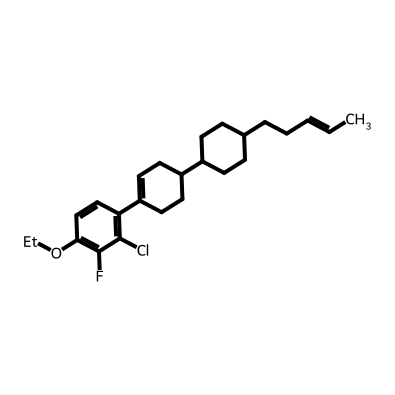 C/C=C/CCC1CCC(C2CC=C(c3ccc(OCC)c(F)c3Cl)CC2)CC1